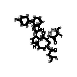 CN[C@@H](C)C(=O)N[C@H]1CN(C(=O)CC(C)C)CC[C@H]2CC[C@@H](c3nc4c([nH]3)C=CCC4c3ccc(F)cc3)N2C1=O